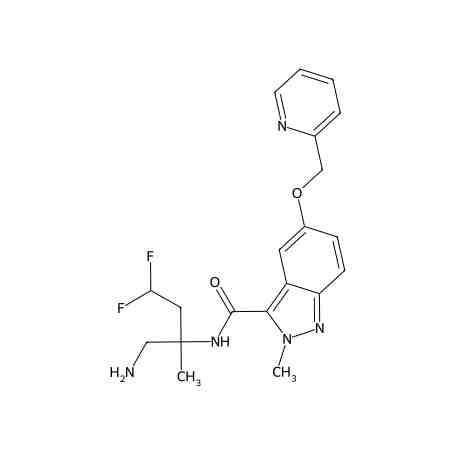 Cn1nc2ccc(OCc3ccccn3)cc2c1C(=O)NC(C)(CN)CC(F)F